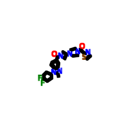 Cc1nc2cc(C(=O)N3CC(N4CCN(C(=O)c5nccs5)CC4)C3)ccc2n1C1CCC(F)(F)CC1